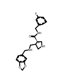 O=C(NCc1cccc(F)c1)[C@H]1CNCC1CNCc1ccc2c(c1)OCO2